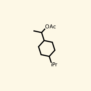 CC(=O)OC(C)C1CCC(C(C)C)CC1